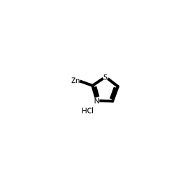 Cl.[Zn][c]1nccs1